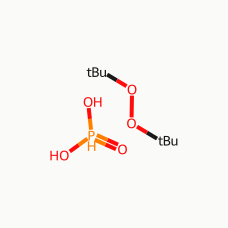 CC(C)(C)OOC(C)(C)C.O=[PH](O)O